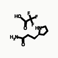 NC(=O)CC[C@@H]1CCCN1.O=C(O)C(F)(F)F